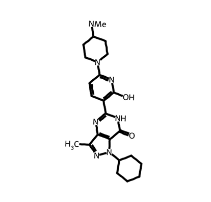 CNC1CCN(c2ccc(-c3nc4c(C)nn(C5CCCCC5)c4c(=O)[nH]3)c(O)n2)CC1